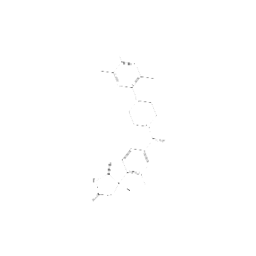 Cc1cc(C)c(N2CCN(C(=O)c3ccc([C@]4(C)NC(=O)NC4=O)c(F)c3)CC2)nc1C